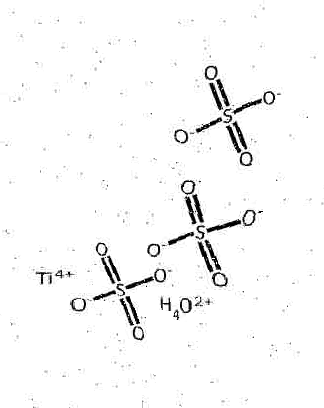 O=S(=O)([O-])[O-].O=S(=O)([O-])[O-].O=S(=O)([O-])[O-].[OH4+2].[Ti+4]